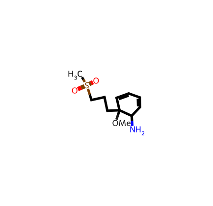 COC1(CCCS(C)(=O)=O)C=CC=CC1N